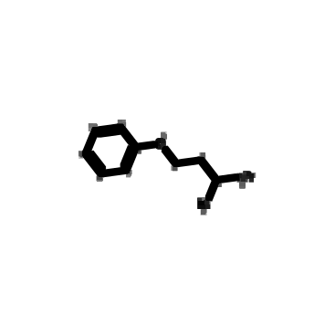 CCCC(CC)CCOc1ccccc1